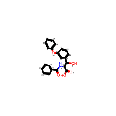 O=C(N[C@H](C(=O)O)C(O)c1cccc(Oc2ccccc2)c1)c1ccccc1